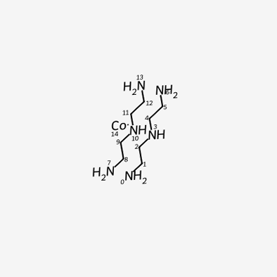 NCCNCCN.NCCNCCN.[Co]